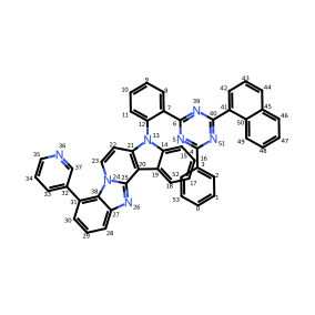 c1ccc(-c2nc(-c3ccccc3-n3c4ccccc4c4c3ccn3c4nc4cccc(-c5cccnc5)c43)nc(-c3cccc4ccccc34)n2)cc1